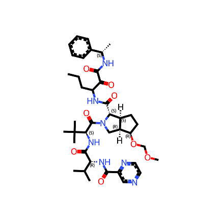 CCCC(NC(=O)[C@@H]1[C@H]2CC[C@@H](OCOC)[C@H]2CN1C(=O)[C@@H](NC(=O)[C@H](NC(=O)c1cnccn1)C(C)C)C(C)(C)C)C(=O)C(=O)N[C@@H](C)c1ccccc1